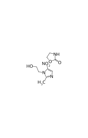 Cc1ncc([N+](=O)[O-])n1CCO.O=C1NCCO1